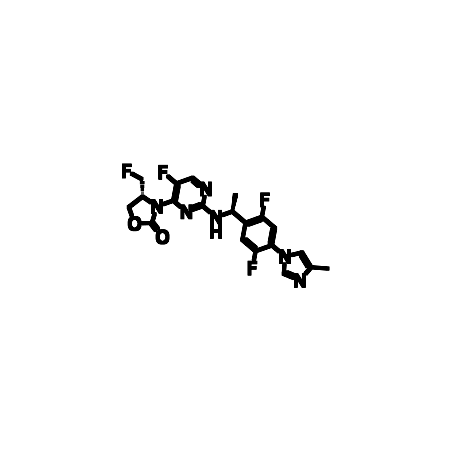 Cc1cn(-c2cc(F)c([C@H](C)Nc3ncc(F)c(N4C(=O)OC[C@@H]4CF)n3)cc2F)cn1